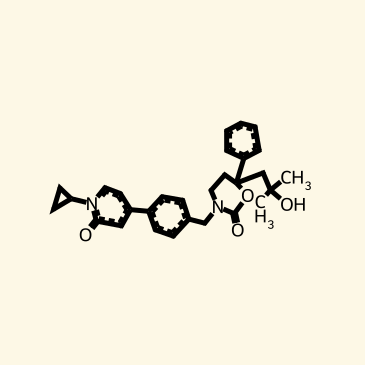 CC(C)(O)CC1(c2ccccc2)CCN(Cc2ccc(-c3ccn(C4CC4)c(=O)c3)cc2)C(=O)O1